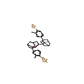 Cc1cc(C23CC4CC(C2)CC(C25CC6CC(CC(c7ccc(Br)c(C)c7)(C6)C2)C5)(C4)C3)ccc1Br